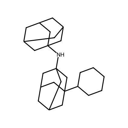 C1CCC(C23CC4CC(CC(NC56CC7CC(CC(C7)C5)C6)(C4)C2)C3)CC1